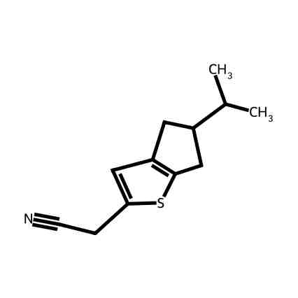 CC(C)C1Cc2cc(CC#N)sc2C1